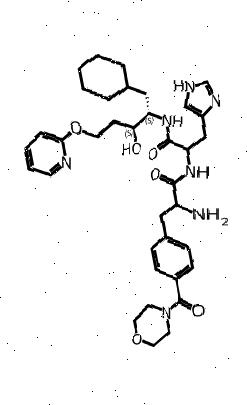 NC(Cc1ccc(C(=O)N2CCOCC2)cc1)C(=O)NC(Cc1c[nH]cn1)C(=O)N[C@@H](CC1CCCCC1)[C@@H](O)CCOc1ccccn1